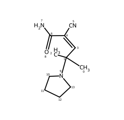 CC(C)(C=C(C#N)C(N)=O)N1CCCC1